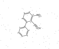 C#Cc1c(-c2ccccc2)cccc1[N+](=O)[O-]